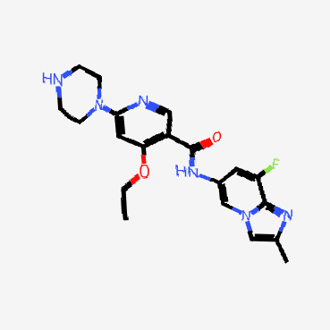 CCOc1cc(N2CCNCC2)ncc1C(=O)Nc1cc(F)c2nc(C)cn2c1